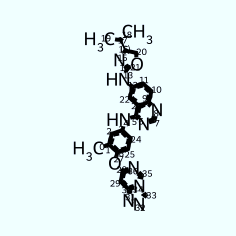 Cc1cc(Nc2ncnc3ccc(NC4=N[C@@H](C(C)C)CO4)cc23)ccc1Oc1cc2nncn2cn1